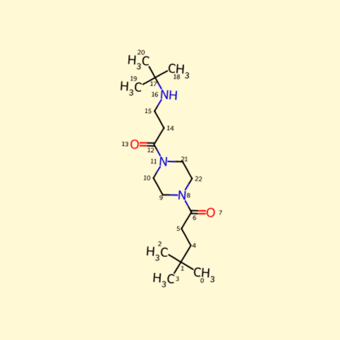 CC(C)(C)CCC(=O)N1CCN(C(=O)CCNC(C)(C)C)CC1